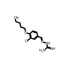 N#CCCCCOc1ccc(C=NNC(=N)N)cc1Cl